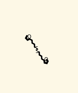 c1coc(CCCCSSCCCCc2ccco2)c1